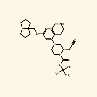 CC(C)(C)OC(=O)N1CCN(c2nc(OCC34CCCN3CCC4)nc3c2CCNC3)C[C@@H]1CC#N